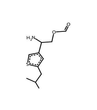 CC(C)Cc1cc(C(N)COC=O)cs1